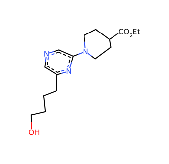 CCOC(=O)C1CCN(c2cncc(CCCCO)n2)CC1